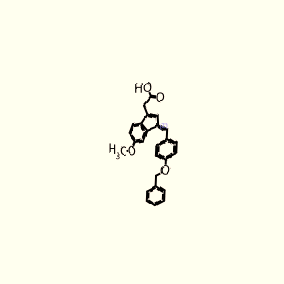 COc1ccc2c(c1)/C(=C\c1ccc(OCc3ccccc3)cc1)C=C2CC(=O)O